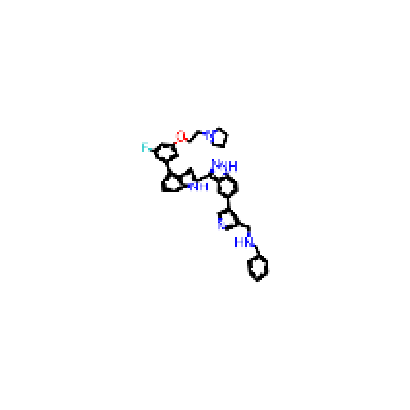 Fc1cc(OCCN2CCCC2)cc(-c2cccc3[nH]c(-c4n[nH]c5ccc(-c6cncc(CNCc7ccccc7)c6)cc45)cc23)c1